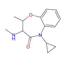 CNC1C(=O)N(C2CC2)c2ccccc2OC1C